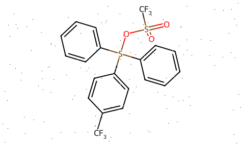 O=S(=O)(OS(c1ccccc1)(c1ccccc1)c1ccc(C(F)(F)F)cc1)C(F)(F)F